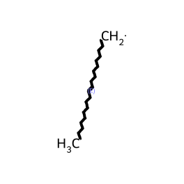 [CH2]CCCCCCCCC/C=C/CCCCCCCCCC